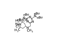 CCCCN(CCCC)c1nc(CN(C)C2CC(C)(C)NC(C)(C)C2)nc(N(CCCC)CCCC)n1